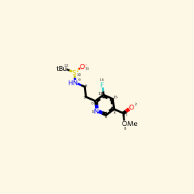 COC(=O)c1cnc(CCN[S+]([O-])C(C)(C)C)c(F)c1